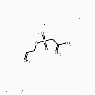 C=CCOS(=O)(=O)CC(=C)C